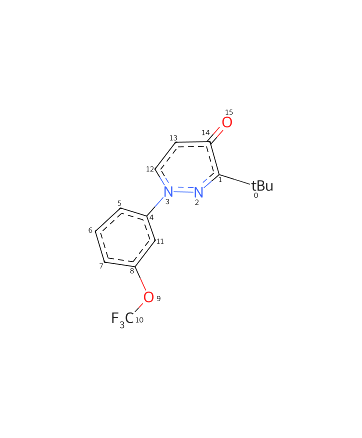 CC(C)(C)c1nn(-c2cccc(OC(F)(F)F)c2)ccc1=O